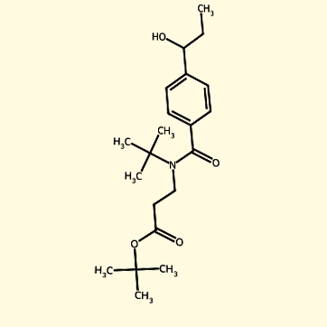 CCC(O)c1ccc(C(=O)N(CCC(=O)OC(C)(C)C)C(C)(C)C)cc1